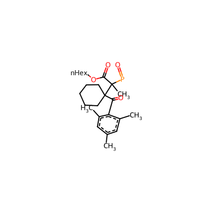 CCCCCCOC(=O)C(C)(P=O)C1(C(=O)c2c(C)cc(C)cc2C)CCCCC1